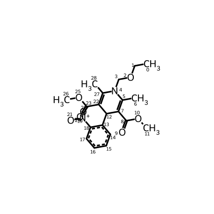 CCOCN1C(C)=C(C(=O)OC)C(c2ccccc2[N+](=O)[O-])C(C(=O)OC)=C1C